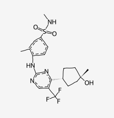 CNS(=O)(=O)c1ccc(Nc2ncc(C(F)(F)F)c([C@H]3CC[C@@](C)(O)CC3)n2)c(C)c1